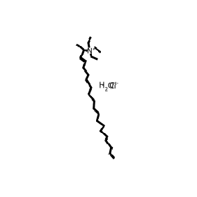 CCCCCCCCCCCCCCCCC=CC(C)[N+](CC)(CC)CC.O.[Cl-]